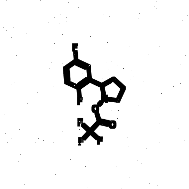 O=C(ON1CCCC1c1cc(F)ccc1F)C(F)(F)F